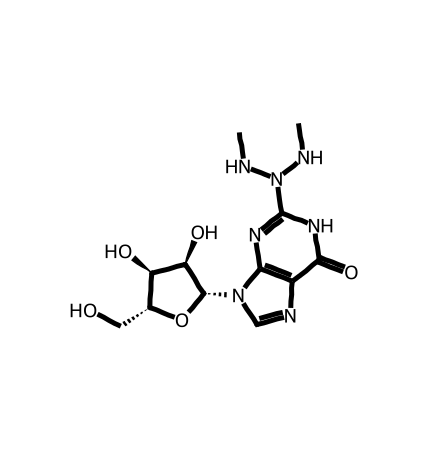 CNN(NC)c1nc2c(ncn2[C@@H]2O[C@H](CO)[C@@H](O)[C@H]2O)c(=O)[nH]1